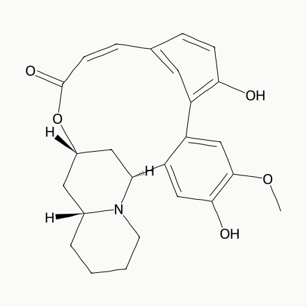 COc1cc2c(cc1O)[C@@H]1C[C@H](C[C@H]3CCCCN31)OC(=O)/C=C\c1ccc(O)c-2c1